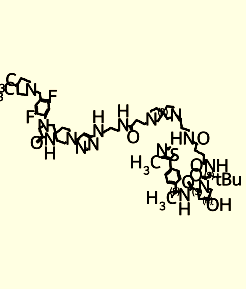 Cc1ncsc1-c1ccc([C@H](C)NC(=O)[C@@H]2C[C@@H](O)CN2C(=O)[C@@H](NC(=O)CCC(=O)NCCCN2CC[C@@]3(CCN(CCC(=O)NCCCNc4cc(N5CCC6(CC5)CN(c5cc(F)c(CN7CCC(C)(C)CC7)cc5F)CC(=O)N6)ncn4)C3)C2)C(C)(C)C)cc1